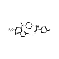 CN(c1cc(C(F)(F)F)nc2ccc(C(F)(F)F)cc12)[C@H]1CC[C@@H](NC(=O)c2ccc(F)cc2)CC1